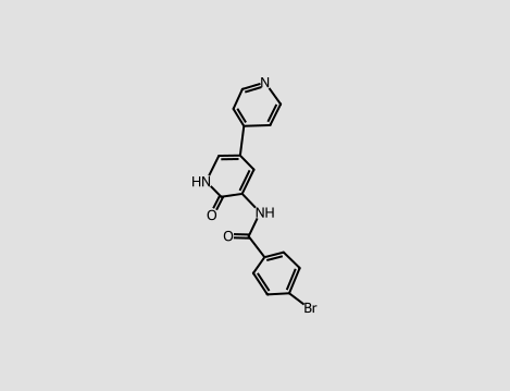 O=C(Nc1cc(-c2ccncc2)c[nH]c1=O)c1ccc(Br)cc1